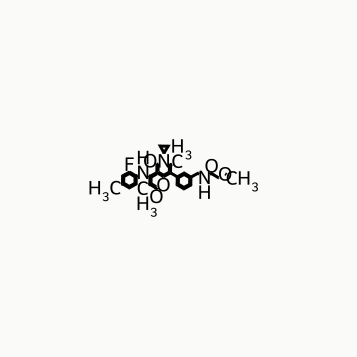 COCC(=O)NCc1cccc(-c2c(C)n(C3CC3)c(=O)c3c(Nc4ccc(C)cc4F)c(C)c(=O)oc23)c1